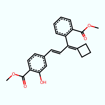 COC(=O)c1ccc(/C=C/C(=C2CCC2)c2ccccc2C(=O)OC)cc1O